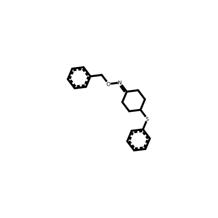 c1ccc(CON=C2CCC(Sc3ccccc3)CC2)cc1